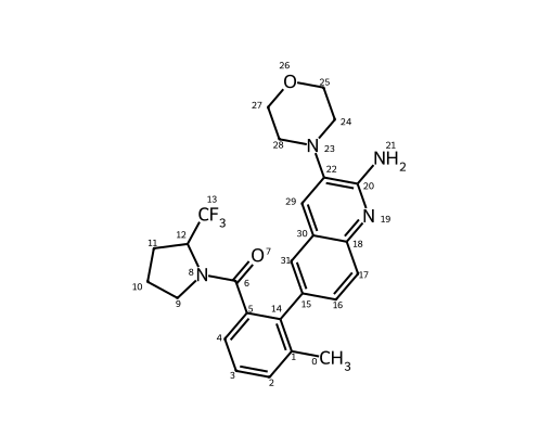 Cc1cccc(C(=O)N2CCCC2C(F)(F)F)c1-c1ccc2nc(N)c(N3CCOCC3)cc2c1